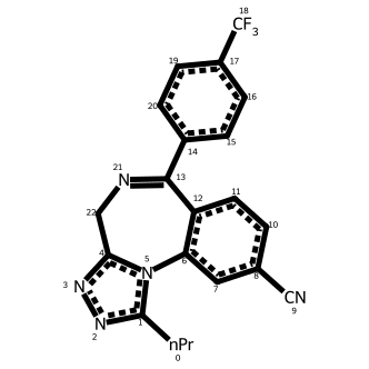 CCCc1nnc2n1-c1cc(C#N)ccc1C(c1ccc(C(F)(F)F)cc1)=NC2